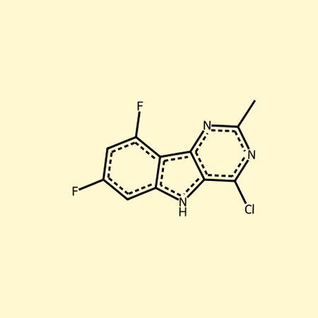 Cc1nc(Cl)c2[nH]c3cc(F)cc(F)c3c2n1